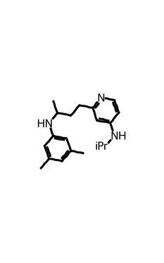 Cc1cc(C)cc(NC(C)CCc2cc(NC(C)C)ccn2)c1